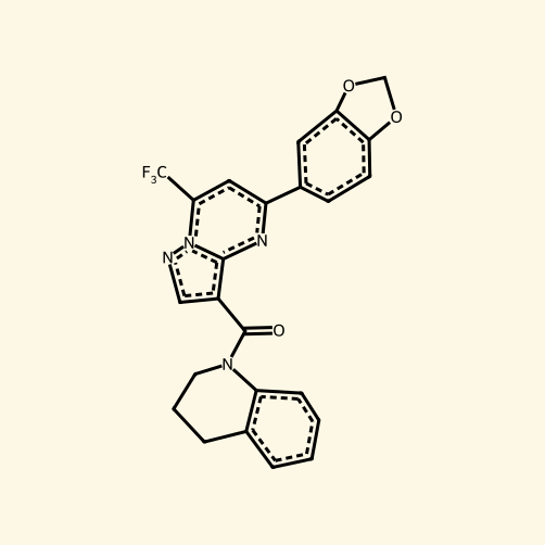 O=C(c1cnn2c(C(F)(F)F)cc(-c3ccc4c(c3)OCO4)nc12)N1CCCc2ccccc21